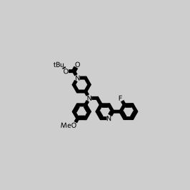 COc1ccc(N(Cc2ccnc(-c3ccccc3F)c2)C2CCN(C(=O)OC(C)(C)C)CC2)cc1